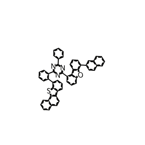 c1ccc(-c2nc(-c3ccccc3-c3cccc4c3sc3c5ccccc5ccc43)nc(-c3cccc4oc5c(-c6ccc7ccccc7c6)cccc5c34)n2)cc1